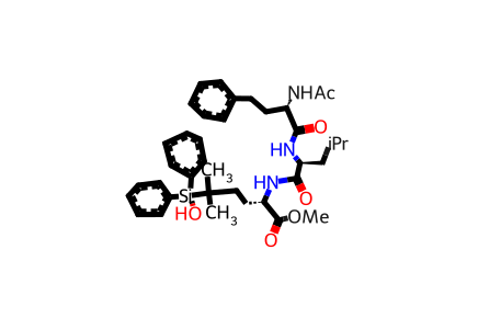 COC(=O)[C@H](CCC(C)(C)[Si](O)(c1ccccc1)c1ccccc1)NC(=O)[C@H](CC(C)C)NC(=O)[C@H](CCc1ccccc1)NC(C)=O